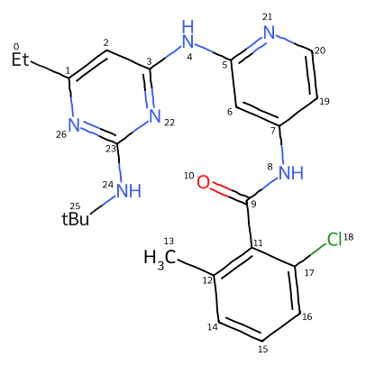 CCc1cc(Nc2cc(NC(=O)c3c(C)cccc3Cl)ccn2)nc(NC(C)(C)C)n1